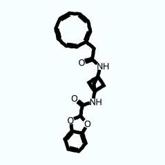 O=C(Cc1ccccccccc1)NC12CC(NC(=O)C3Oc4ccccc4O3)(C1)C2